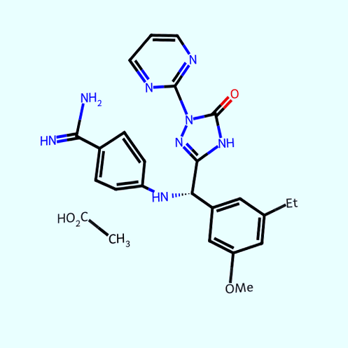 CC(=O)O.CCc1cc(OC)cc([C@H](Nc2ccc(C(=N)N)cc2)c2nn(-c3ncccn3)c(=O)[nH]2)c1